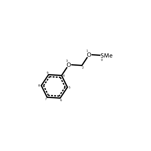 CSOCOc1ccccc1